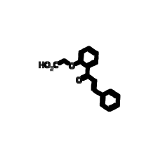 O=C(O)COc1ccccc1C(=O)C=Cc1ccccc1